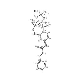 CC1(C)O[C@@H]2[C@H](O1)[C@H]1COc3nc(=NC(=O)OCc4ccccc4)ccn3[C@@H]2O1